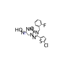 N/C(Cn1nc(-c2ccc(Cl)s2)n(Cc2ccccc2F)c1=O)=N\O